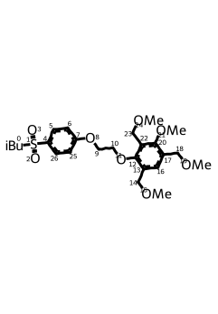 CCC(C)S(=O)(=O)c1ccc(OCCOc2c(COC)cc(COC)c(OC)c2COC)cc1